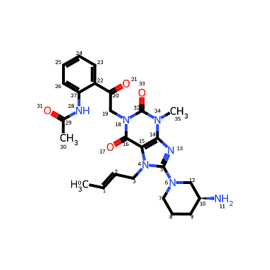 CC=CCn1c(N2CCC[C@H](N)C2)nc2c1c(=O)n(CC(=O)c1ccccc1NC(C)=O)c(=O)n2C